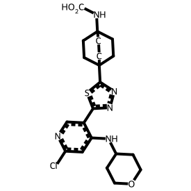 O=C(O)NC12CCC(c3nnc(-c4cnc(Cl)cc4NC4CCOCC4)s3)(CC1)CC2